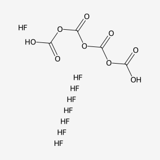 F.F.F.F.F.F.F.F.O=C(O)OC(=O)OC(=O)OC(=O)O